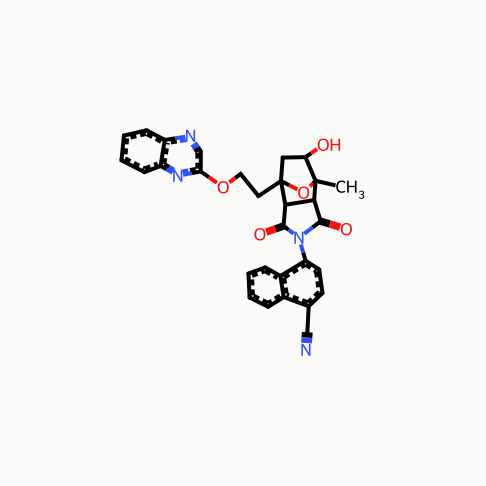 CC12OC(CCOc3cnc4ccccc4n3)(CC1O)C1C(=O)N(c3ccc(C#N)c4ccccc34)C(=O)C12